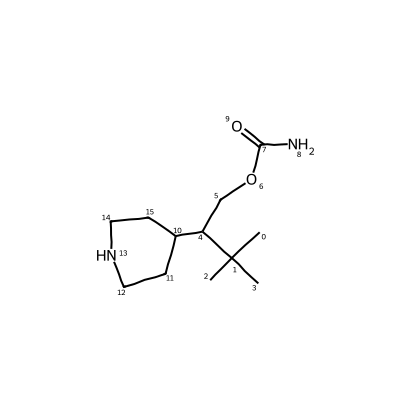 CC(C)(C)C(COC(N)=O)C1CCNCC1